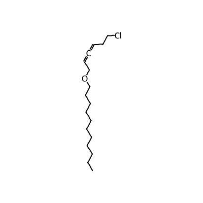 CCCCCCCCCCCOCC=C=CCCCl